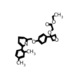 CCOC(=O)COC1(c2ccc(OCc3cccc(-c4ccc(C)cc4C)n3)cc2)COC1